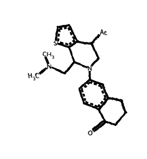 CC(=O)C1CN(c2ccc3c(c2)CCCC3=O)C(CN(C)C)c2sccc21